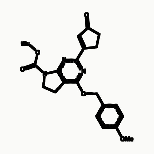 COc1ccc(COc2nc(C3=CC(=O)CC3)nc3c2CCN3C(=O)OC(C)(C)C)cc1